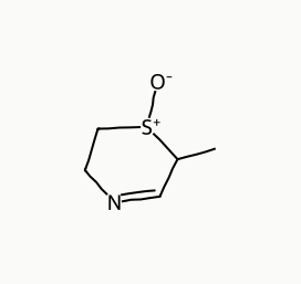 CC1C=NCC[S+]1[O-]